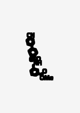 COC(=O)c1cccc(CNS(=O)(=O)c2ccc(-c3ccc(C#N)cc3)cc2)c1